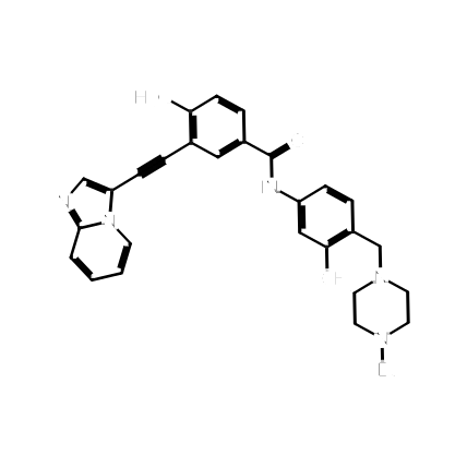 CCN1CCN(Cc2ccc(NC(=O)c3ccc(C)c(C#Cc4cnc5ccccn45)c3)cc2C(F)(F)F)CC1